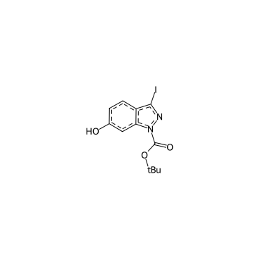 CC(C)(C)OC(=O)n1nc(I)c2ccc(O)cc21